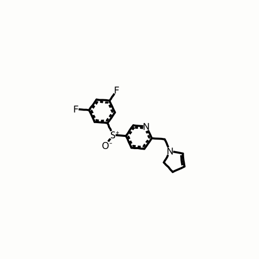 [O-][S+](c1ccc(CN2C=CCC2)nc1)c1cc(F)cc(F)c1